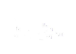 Nc1nc(NC2CCCCC2)c2cc(-c3ccc(C(=O)N4CCOCC4)cc3)ccc2n1